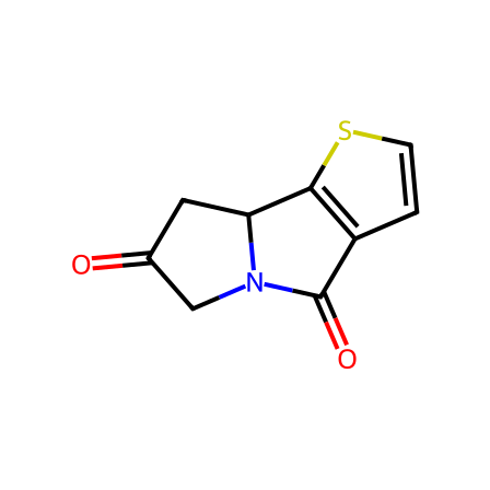 O=C1CC2c3sccc3C(=O)N2C1